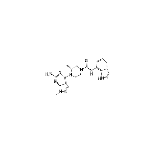 C[C@H]1CN(C(=O)Nc2cccc3cn[nH]c23)CCN1c1nc(N)nc2c1cnn2C